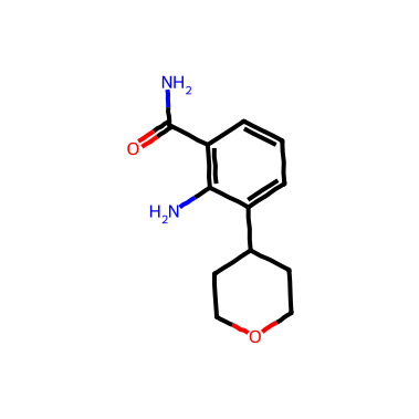 NC(=O)c1cccc(C2CCOCC2)c1N